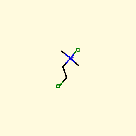 C[N+](C)(Cl)CCCl